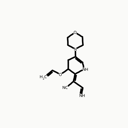 C=COC1CC(N2CCOCC2)=CN/C1=C(/C#N)C=N